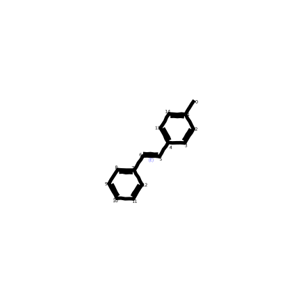 Cc1ccc(/C=C/c2cc[c]cc2)cc1